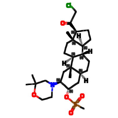 CC1(C)CN([C@H]2C[C@@]3(C)[C@@H](CC[C@@H]4[C@@H]3CC[C@]3(C)[C@@H](C(=O)CCl)CC[C@@H]43)C[C@@H]2OS(C)(=O)=O)CCO1